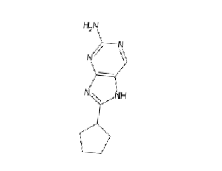 Nc1ncc2[nH]c(C3CCCC3)nc2n1